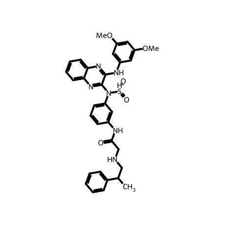 COc1cc(Nc2nc3ccccc3nc2N(c2cccc(NC(=O)CNCC(C)c3ccccc3)c2)[SH](=O)=O)cc(OC)c1